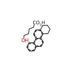 O=C(O)CCCCO.c1ccc2c(c1)ccc1c3c(ccc12)CCCC3